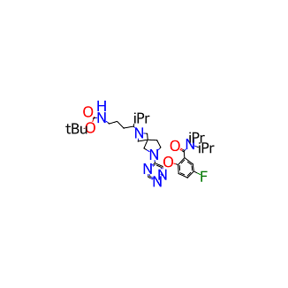 CC(C)C(CCCNC(=O)OC(C)(C)C)N1CC2(CCN(c3ncnnc3Oc3ccc(F)cc3C(=O)N(C(C)C)C(C)C)C2)C1